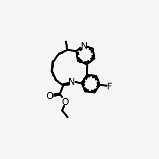 CCOC(=O)/C1=N\c2ccc(F)cc2-c2ccnc(c2)C(C)CCCC1